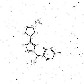 Cc1ccc(C(O)c2noc([C@H]3CC[C@H](N)C3)n2)cc1